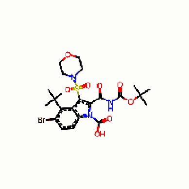 CC(C)(C)OC(=O)NC(=O)c1c(S(=O)(=O)N2CCOCC2)c2c(C(C)(C)C)c(Br)ccc2n1C(=O)O